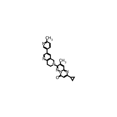 Cc1ccc(-c2cnc3c(c2)CN(c2nn4c(=O)cc(C5CC5)nc4cc2C)CC3)cn1